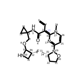 C=C/C(C(=O)NC1(COC2NC[C@H]2F)CC1)=C1/N=C(N2OCC[C@@H]2C)C=CN1C